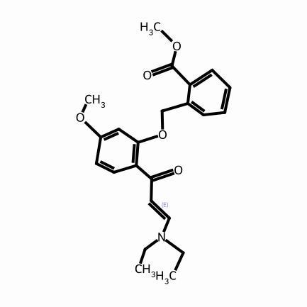 CCN(/C=C/C(=O)c1ccc(OC)cc1OCc1ccccc1C(=O)OC)CC